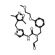 COCCOc1cccc(CN(CC=O)C(=O)Nc2cnn(Cc3c(C)noc3C)c2)c1